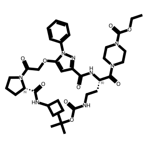 CCOC(=O)N1CCN(C(=O)[C@H](CCNC(=O)OC(C)(C)C)NC(=O)c2cc(OCC(=O)N3CCC[C@H]3C(=O)NC3CCC3)n(-c3ccccc3)n2)CC1